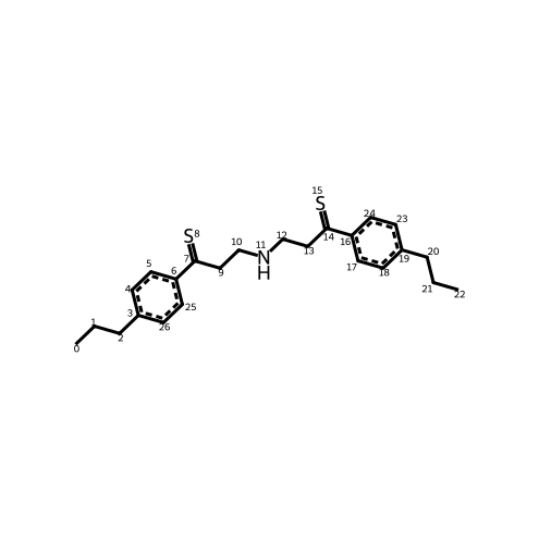 CCCc1ccc(C(=S)CCNCCC(=S)c2ccc(CCC)cc2)cc1